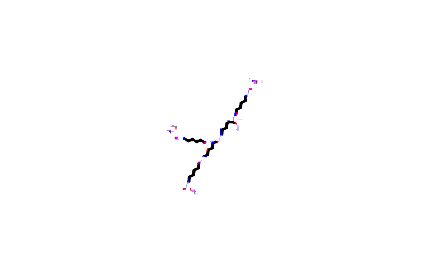 CCCP(N)OC(=O)NCCCCCC(=O)NC(CCCCNC(=O)C(CCCCNC(=O)CCCCCNC(=O)P(CCC)ON)NC(=O)CCCCCNC(=O)OP(N)CCC)C(N)=O